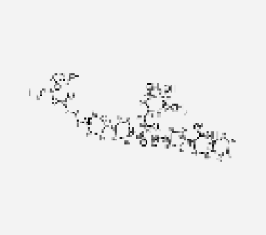 CCOC(=O)OC(C)OC(=O)CCCN1CCC(N2CCN(C(=O)[C@@H](Cc3cc(C)c(O)c(C)c3)OC(=O)N3CCC(N4CCc5ccccc5NC4=O)CC3)CC2)CC1